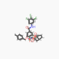 Cc1ccc(CO/N=C/[C@]2(O)CC3CCC(C2)[C@H]3S(=O)(=O)c2cc(C(=O)Nc3cc(F)c(F)c(F)c3)ccc2Cl)cc1